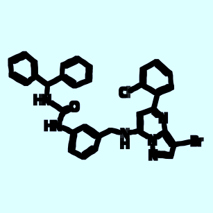 O=C(Nc1cccc(CNc2cc(-c3ccccc3Cl)nc3c(Br)cnn23)c1)NC(c1ccccc1)c1ccccc1